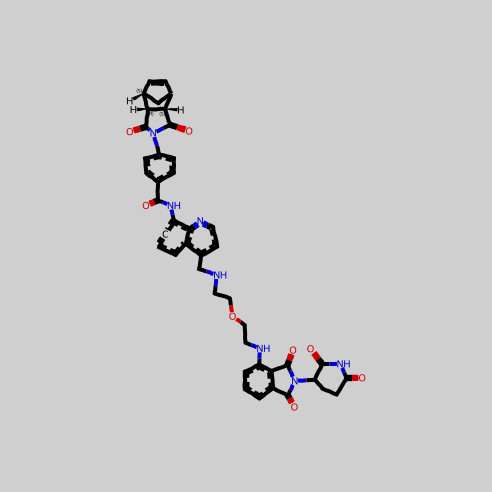 O=C1CCC(N2C(=O)c3cccc(NCCOCCNCc4ccnc5c(NC(=O)c6ccc(N7C(=O)[C@@H]8[C@@H]9C=CC(C9)[C@@H]8C7=O)cc6)cccc45)c3C2=O)C(=O)N1